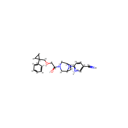 C[C@H]1CC2CN(C(=O)COCC3(c4ccccc4)CC3)CC1N2c1ccc(C#N)cn1